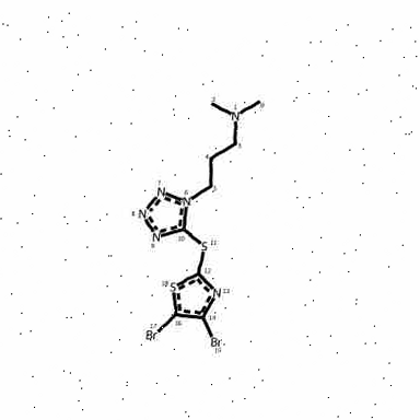 CN(C)CCCn1nnnc1Sc1nc(Br)c(Br)s1